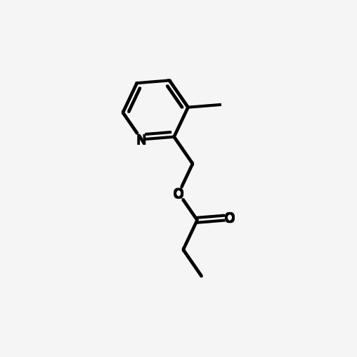 CCC(=O)OCc1ncccc1C